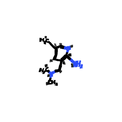 Cc1cnc(N)c(CN(C)C)c1